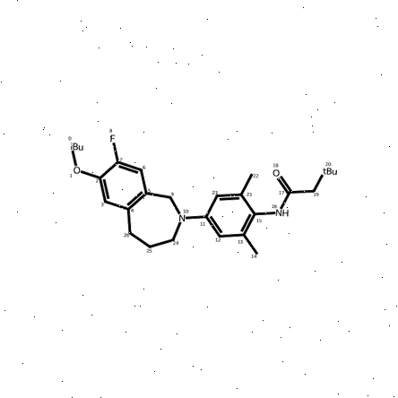 CCC(C)Oc1cc2c(cc1F)CN(c1cc(C)c(NC(=O)CC(C)(C)C)c(C)c1)CCC2